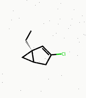 CC[C@]12C=C(Cl)CC1C2